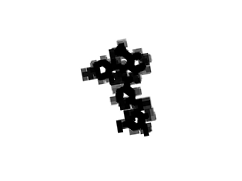 O[C@@H]1CNCC[C@H]1Nc1nc(-c2ccnc(Nc3nc(F)cc(F)c3F)c2)nc2cncc(C3CC3)c12